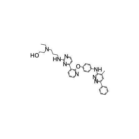 CCN(CCO)CCCNc1nccc(-c2cccnc2Oc2ccc(Nc3nnc(-c4ccccc4)cc3C)cc2)n1